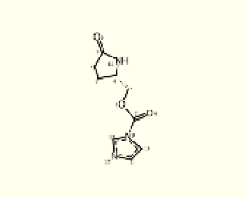 O=C1CC[C@@H](COC(=O)n2ccnc2)N1